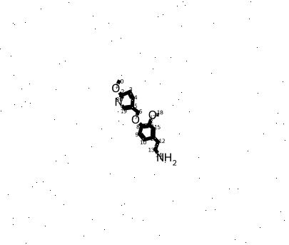 COc1ccc(COc2ccc(CCN)cc2OC)cn1